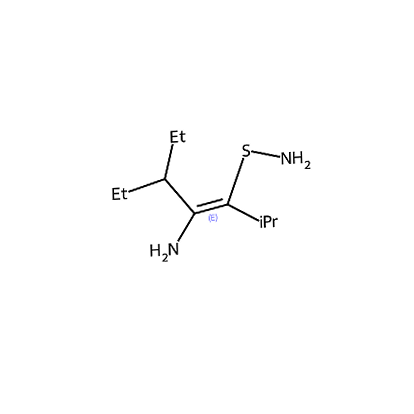 CCC(CC)/C(N)=C(\SN)C(C)C